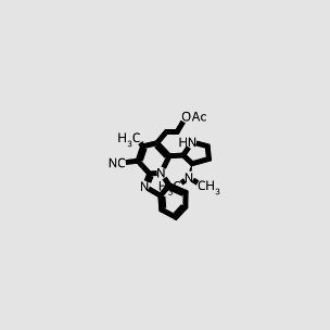 CC(=O)OCCc1c(C)c(C#N)c2nc3ccccc3n2c1C1NCC[C@@H]1N(C)C